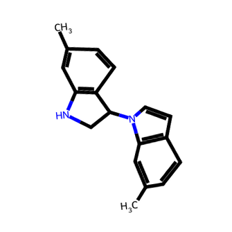 Cc1ccc2c(c1)NCC2n1ccc2ccc(C)cc21